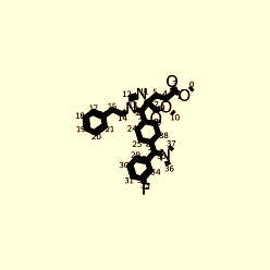 COC(=O)CCC1(C(=O)OC)N=CN(CCc2ccccc2)C1C1CCC(C(c2cccc(F)c2)N(C)C)CC1